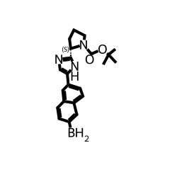 Bc1ccc2cc(-c3cnc([C@@H]4CCCN4C(=O)OC(C)(C)C)[nH]3)ccc2c1